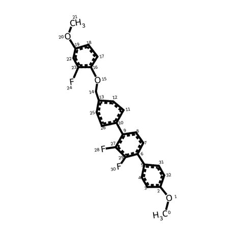 COc1ccc(-c2ccc(-c3ccc(COc4ccc(OC)cc4F)cc3)c(F)c2F)cc1